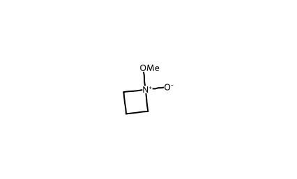 CO[N+]1([O-])CCC1